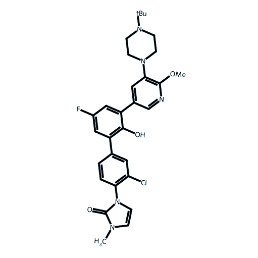 COc1ncc(-c2cc(F)cc(-c3ccc(-n4ccn(C)c4=O)c(Cl)c3)c2O)cc1N1CCN(C(C)(C)C)CC1